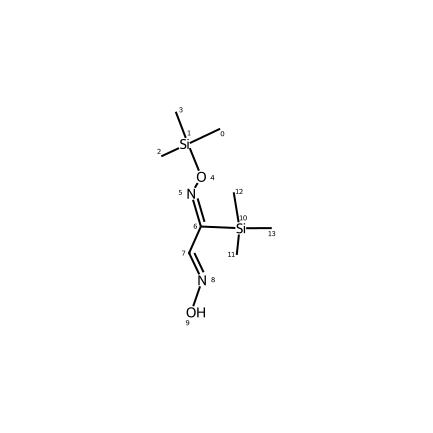 C[Si](C)(C)ON=C(C=NO)[Si](C)(C)C